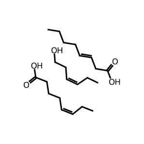 CC/C=C\CCCC(=O)O.CC/C=C\CCO.CCCCC=CCC(=O)O